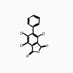 O=C1OC(=O)c2c(Cl)c(-c3ccccc3)c(Cl)c(Cl)c21